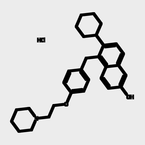 Cl.Oc1ccc2c(Cc3ccc(OCCN4CCCCC4)cc3)c(C3CCCCC3)ccc2c1